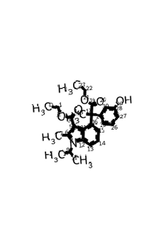 CCOC(=O)c1c(C)n(C(C)C)c2cccc(C(C)(C(=O)OCC)c3cccc(O)c3)c12